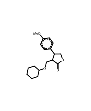 COc1ccc(C2COC(=O)C2CSC2CCCCC2)cc1